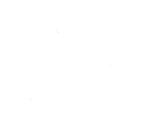 CCN(CC)c1ccc(C(c2cc(N(CC)CC)ccc2C)c2cc(N(CC)CC)ccc2C)cc1